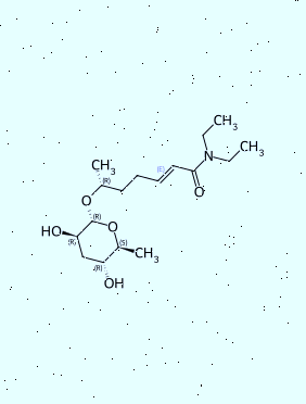 CCN(CC)C(=O)/C=C/CC[C@@H](C)O[C@@H]1O[C@@H](C)[C@H](O)C[C@H]1O